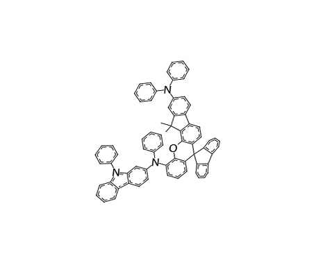 CC1(C)c2cc(N(c3ccccc3)c3ccccc3)ccc2-c2ccc3c(c21)Oc1c(N(c2ccccc2)c2ccc4c5ccccc5n(-c5ccccc5)c4c2)cccc1C31c2ccccc2-c2ccccc21